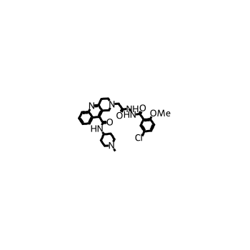 COc1ccc(Cl)cc1C(=O)NNC(=O)CN1CCc2nc3ccccc3c(C(=O)NC3CCN(C)CC3)c2C1